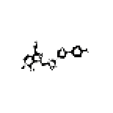 Cn1ccc2c(C#N)nn(Cc3nc([C@@H]4CO[C@@H](c5ccc(Cl)cc5)C4)no3)c2c1=O